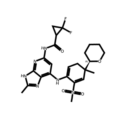 Cc1nc2c(NC3=CCC(C)([C@H]4CCCCO4)C=C3S(C)(=O)=O)cc(NC(=O)C3CC3(F)F)nc2[nH]1